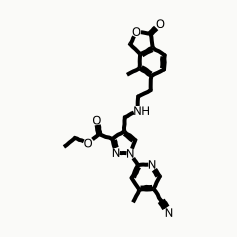 CCOC(=O)c1nn(-c2cc(C)c(C#N)cn2)cc1CNCCc1ccc2c(c1C)COC2=O